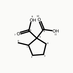 CC1CCCC1(C(=O)O)C(=O)O